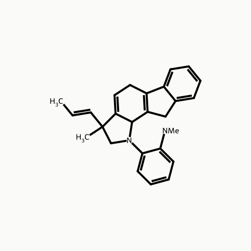 CC=CC1(C)CN(c2ccccc2NC)C2C1=CCC1=C2Cc2ccccc21